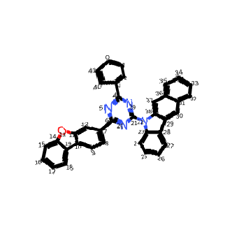 c1ccc(-c2nc(-c3ccc4c(c3)oc3ccccc34)nc(-n3c4ccccc4c4cc5ccccc5cc43)n2)cc1